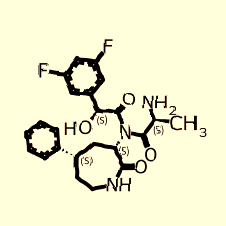 C[C@H](N)C(=O)N(C(=O)[C@@H](O)c1cc(F)cc(F)c1)[C@H]1C[C@@H](c2ccccc2)CCNC1=O